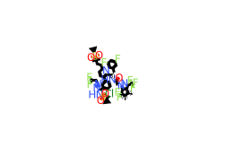 C[C@@H]1c2c(C(F)(F)F)nn(CC(=O)N[C@@H](Cc3cc(F)cc(F)c3)c3nc(CCC(C)(C)S(=O)(=O)C4CC4)ccc3-c3ccc(Cl)c4c(NS(=O)(=O)C5(C)CC5)nn(CC(F)F)c34)c2C(F)(F)[C@@H]1C